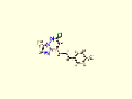 Fc1cnc2c(CCCc3ccc(Cl)cc3)cc(Cl)nn12